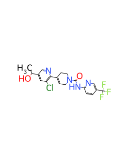 CC(O)c1cnc(C2=CCN(C(=O)Nc3ccc(C(F)(F)F)cn3)CC2)c(Cl)c1